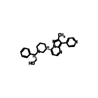 Cc1nn2c([C@H]3CCCN([C@H](CO)c4ccccc4)C3)ccnc2c1-c1ccncc1